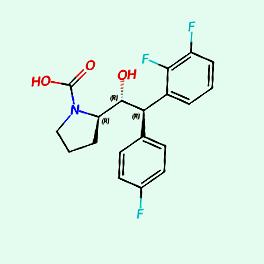 O=C(O)N1CCC[C@@H]1[C@H](O)[C@H](c1ccc(F)cc1)c1cccc(F)c1F